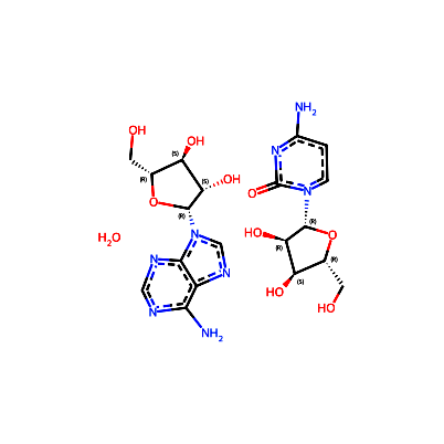 Nc1ccn([C@@H]2O[C@H](CO)[C@@H](O)[C@H]2O)c(=O)n1.Nc1ncnc2c1ncn2[C@@H]1O[C@H](CO)[C@@H](O)[C@@H]1O.O